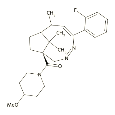 COC1CCN(C(=O)[C@]23CCC(C(C)/C=C(c4ccccc4F)\N=N/C2)C3(C)C)CC1